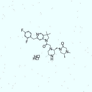 C[C@@H]1CN(CC(=O)N2CC(C)(C)c3cnc(Cc4ccc(F)cc4F)cc32)[C@@H](CN2C[C@H](C)N(C)CC2=O)CN1.Cl.Cl